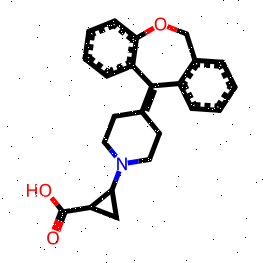 O=C(O)C1CC1N1CCC(=C2c3ccccc3COc3ccccc32)CC1